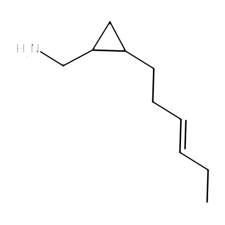 CCC=CCCC1CC1CN